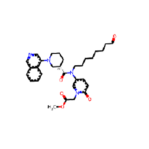 COC(=O)Cn1cc(N(CCCCCCCC=O)C(=O)[C@H]2CCCN(c3cncc4ccccc34)C2)ccc1=O